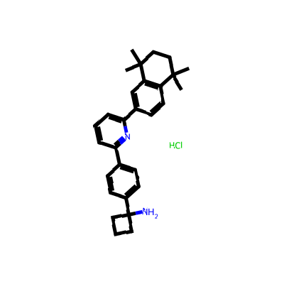 CC1(C)CCC(C)(C)c2cc(-c3cccc(-c4ccc(C5(N)CCC5)cc4)n3)ccc21.Cl